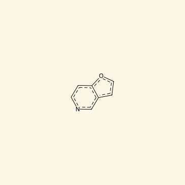 c1cc2occc2cn1